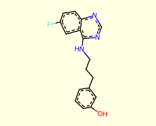 Oc1cccc(CCCNc2ncnc3ccc(F)cc23)c1